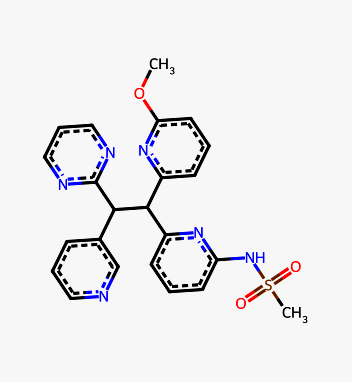 COc1cccc(C(c2cccc(NS(C)(=O)=O)n2)C(c2cccnc2)c2ncccn2)n1